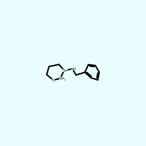 c1ccc(CN[SiH]2CCCO[SiH2]2)cc1